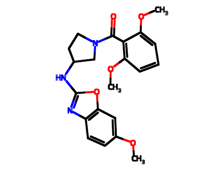 COc1ccc2nc(NC3CCN(C(=O)c4c(OC)cccc4OC)C3)oc2c1